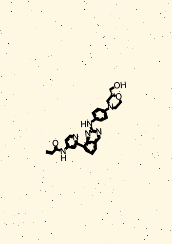 C=CC(=O)Nc1ccnc(-c2cccc3cnc(Nc4ccc(N5CCO[C@H](CO)C5)cc4)nc23)c1